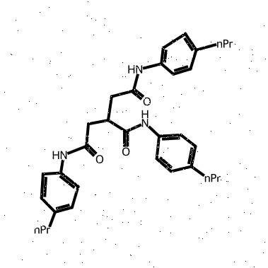 CCCc1ccc(NC(=O)CC(CC(=O)Nc2ccc(CCC)cc2)C(=O)Nc2ccc(CCC)cc2)cc1